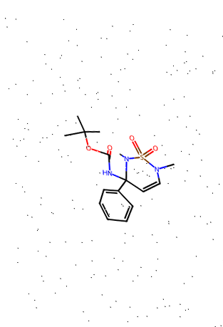 CN1C=CC(NC(=O)OC(C)(C)C)(c2ccccc2)N(C)S1(=O)=O